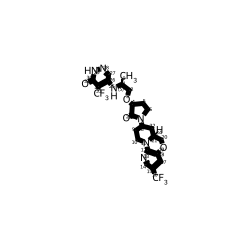 C[C@@H](COC1CCN(C2CCN3c4ncc(C(F)(F)F)cc4OC[C@@H]3C2)C1=O)Nc1cn[nH]c(=O)c1C(F)(F)F